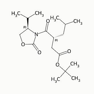 CC(C)C[C@H](CC(=O)OC(C)(C)C)C(=O)N1C(=O)OC[C@H]1C(C)C